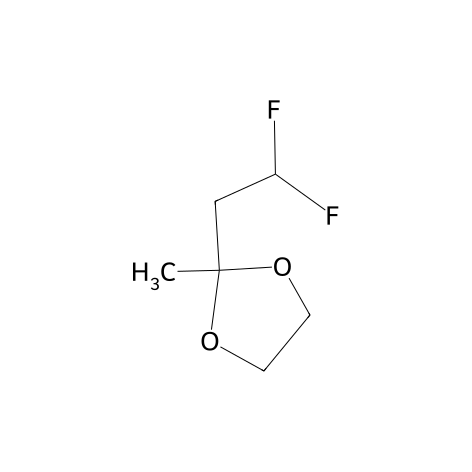 CC1(CC(F)F)OCCO1